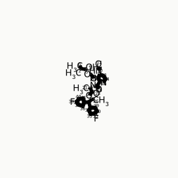 CC(C)C(O)OCOc1c(NC=O)ccnc1C(=O)N[C@@H](C)C(=O)OC(C)C(c1ccc(F)cc1)c1ccc(F)cc1